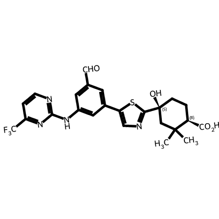 CC1(C)C[C@](O)(c2ncc(-c3cc(C=O)cc(Nc4nccc(C(F)(F)F)n4)c3)s2)CC[C@H]1C(=O)O